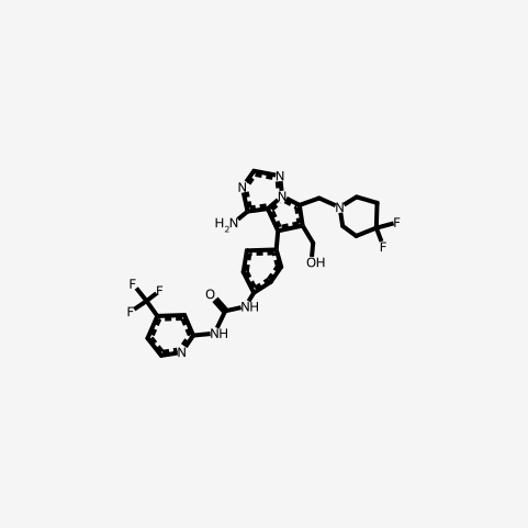 Nc1ncnn2c(CN3CCC(F)(F)CC3)c(CO)c(-c3ccc(NC(=O)Nc4cc(C(F)(F)F)ccn4)cc3)c12